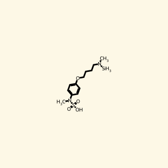 CN([SiH3])CCCCOc1ccc(N(C)S(=O)(=O)O)cc1